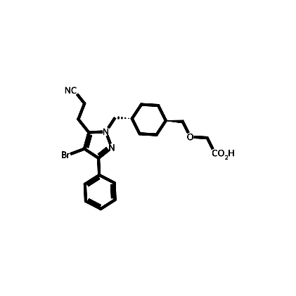 N#CCCc1c(Br)c(-c2ccccc2)nn1C[C@H]1CC[C@H](COCC(=O)O)CC1